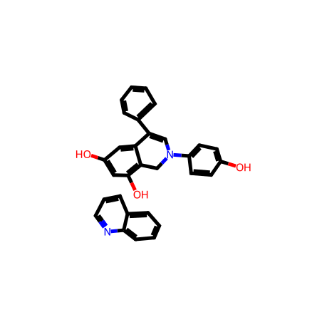 Oc1ccc(N2C=C(c3ccccc3)c3cc(O)cc(O)c3C2)cc1.c1ccc2ncccc2c1